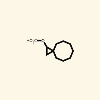 O=C(O)OC1CC12CCCCCCC2